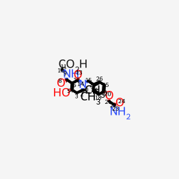 CC1(C)CC(O)=C(C(=O)NCC(=O)O)C(=O)N1Cc1ccc(OCC(N)=O)cc1